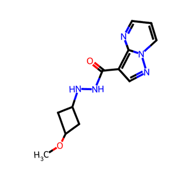 COC1CC(NNC(=O)c2cnn3cccnc23)C1